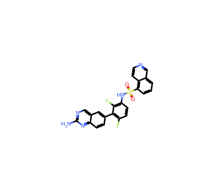 Nc1ncc2cc(-c3c(F)ccc(NS(=O)(=O)c4cccc5cnccc45)c3F)ccc2n1